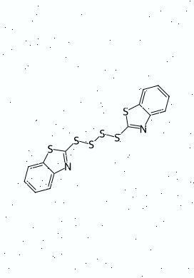 c1ccc2sc(SSSSc3nc4ccccc4s3)nc2c1